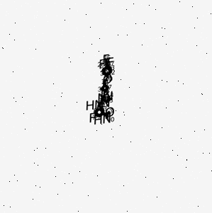 CNC(=O)c1cc(F)cc(Nc2ncnc(N3CC(COc4ccc(C(F)(F)F)cc4)C3)n2)c1